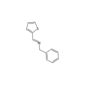 C(=N\Cc1ccccc1)/c1cccs1